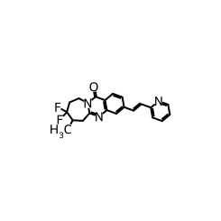 CC1Cc2nc3cc(/C=C/c4ccccn4)ccc3c(=O)n2CCC1(F)F